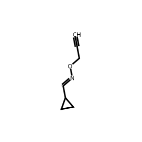 C#CCO/N=[C]/C1CC1